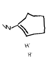 [H-].[H-].[W][C]1=CCCC1